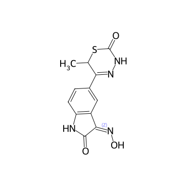 CC1SC(=O)NN=C1c1ccc2c(c1)/C(=N/O)C(=O)N2